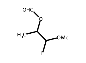 COC(F)C(C)OC=O